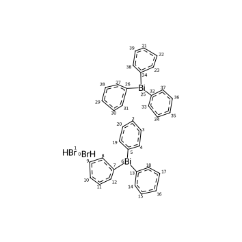 Br.Br.c1cc[c]([Bi]([c]2ccccc2)[c]2ccccc2)cc1.c1cc[c]([Bi]([c]2ccccc2)[c]2ccccc2)cc1